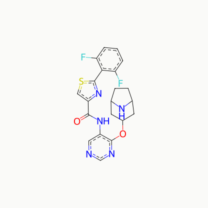 O=C(Nc1cncnc1OC1CC2CCC(C1)N2)c1csc(-c2c(F)cccc2F)n1